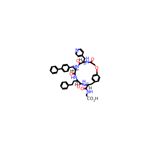 O=C(O)CNC(=O)[C@@H]1Cc2ccc(cc2)OCC(=O)N[C@@H](Cc2ccncc2)C(=O)N[C@H](Cc2ccc(-c3ccccc3)cc2)C(=O)N[C@@H](CCc2ccccc2)C(=O)N1